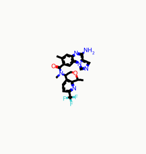 Cc1cc2nc(N)c3cncn3c2cc1C(=O)N(C)C1COC(C)c2nc(C(F)(F)F)ccc21